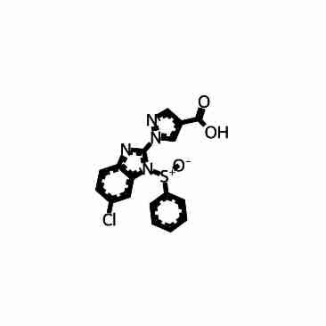 O=C(O)c1cnn(-c2nc3ccc(Cl)cc3n2[S+]([O-])c2ccccc2)c1